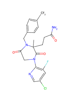 CC1(CCC(N)=O)C(=O)N(c2ncc(Cl)cc2F)CC(=O)N1Cc1ccc(C(F)(F)F)cc1